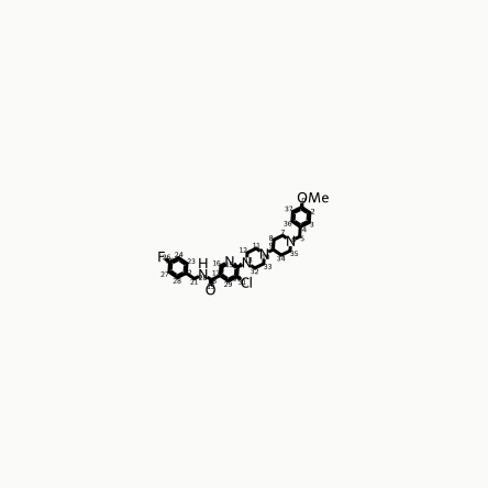 COc1ccc(CN2CCC(N3CCN(c4ncc(C(=O)NCc5ccc(F)cc5)cc4Cl)CC3)CC2)cc1